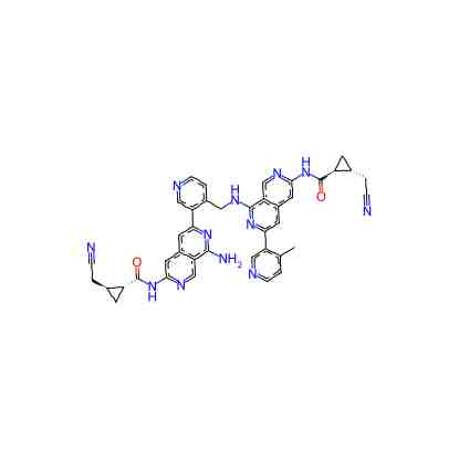 Cc1ccncc1-c1cc2cc(NC(=O)[C@H]3C[C@@H]3CC#N)ncc2c(NCc2ccncc2-c2cc3cc(NC(=O)[C@@H]4C[C@H]4CC#N)ncc3c(N)n2)n1